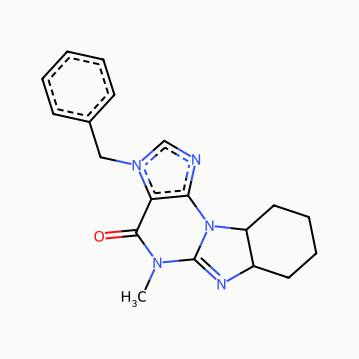 CN1C(=O)c2c(ncn2Cc2ccccc2)N2C1=NC1CCCCC12